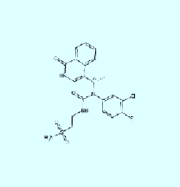 C[C@@H](c1c[nH]c(=O)c2ccccc12)N(C(=O)NCCS(N)(=O)=O)c1ccc(F)c(Cl)c1